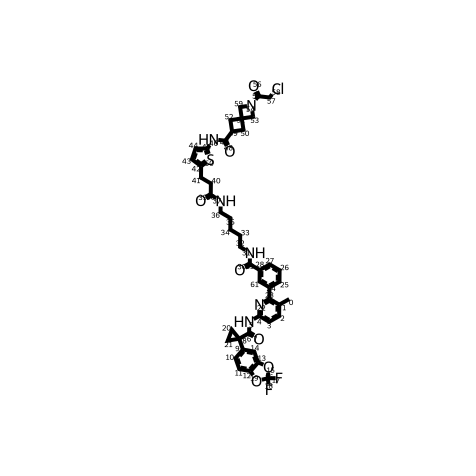 Cc1ccc(NC(=O)C2(c3ccc4c(c3)OC(F)(F)O4)CC2)nc1-c1cccc(C(=O)NCCCCCNC(=O)CCc2ccc(NC(=O)C3CC4(C3)CN(C(=O)CCl)C4)s2)c1